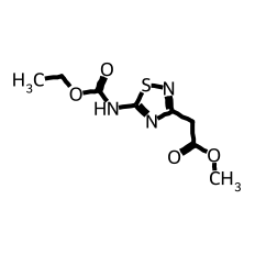 CCOC(=O)Nc1nc(CC(=O)OC)ns1